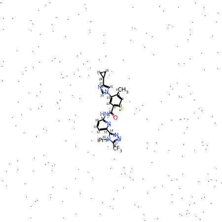 Cc1cc(F)c(C(=O)Nc2cccc(-c3nnc(C(F)(F)F)n3C(C)C)n2)cc1-n1cnc(C2CC2)c1